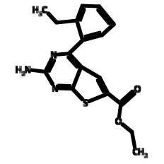 CCOC(=O)c1cc2c(-c3ccccc3CC)nc(N)nc2s1